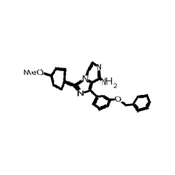 COC1CCC(c2nc(-c3cccc(OCc4ccccc4)c3)c3c(N)nccn23)CC1